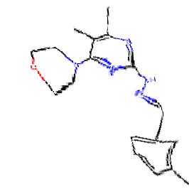 Cc1cccc(/C=N/Nc2nc(C)c(C)c(N3CCOCC3)n2)c1